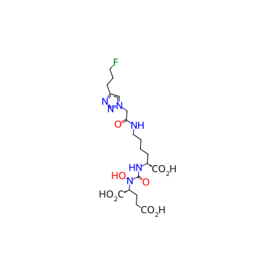 O=C(O)CC[C@@H](C(=O)O)N(O)C(=O)N[C@@H](CCCCNC(=O)Cn1cc(CCCF)nn1)C(=O)O